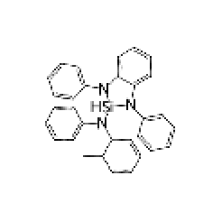 CC1C=CC=CC1N(c1ccccc1)[SiH]1N(c2ccccc2)c2ccccc2N1c1ccccc1